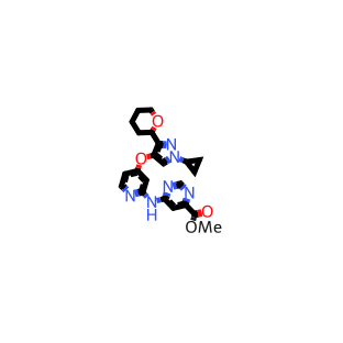 COC(=O)c1cc(Nc2cc(Oc3cn(C4CC4)nc3C3CCCCO3)ccn2)ncn1